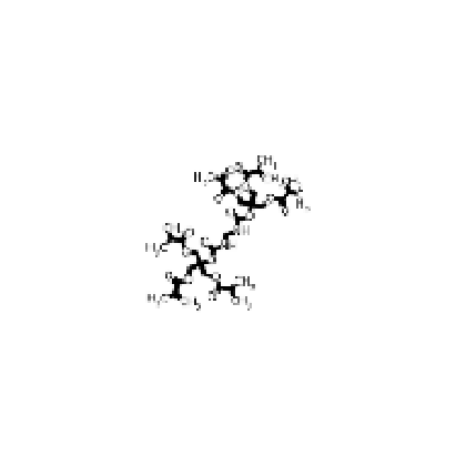 C=C(C)C(=O)OCC(COC(=O)C(=C)C)(COC(=O)C(=C)C)OC(=O)NCNC(=O)OC(COC(=O)C(=C)C)(COC(=O)C(=C)C)COC(=O)C(=C)C